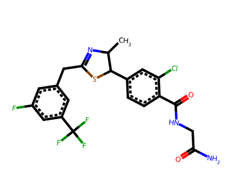 CC1N=C(Cc2cc(F)cc(C(F)(F)F)c2)SC1c1ccc(C(=O)NCC(N)=O)c(Cl)c1